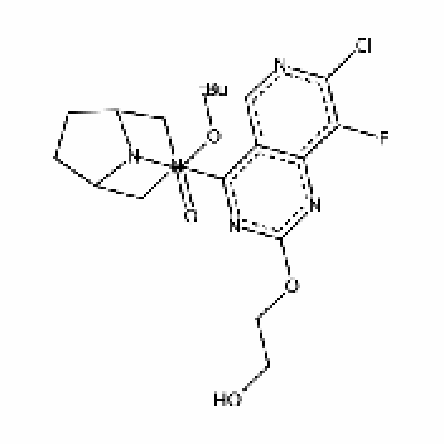 CC(C)(C)OC(=O)N1C2CCC1CN(c1nc(OCCO)nc3c(F)c(Cl)ncc13)C2